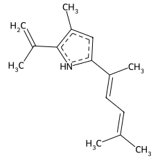 C=C(C)c1[nH]c(/C(C)=C/C=C(C)C)cc1C